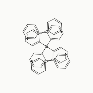 c1cncc(-c2ccccc2[Si](c2ccccc2-c2cccnc2)(c2ccccc2-c2cccnc2)c2ccccc2-c2cccnc2)c1